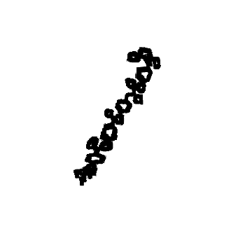 O=C(Oc1ccc(C(=O)Oc2ccc(CC(Cl)C(=O)Oc3ccc(N4C(=O)C=CC4=O)cc3)cc2)cc1)c1ccc(OCC(F)(F)F)cc1